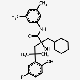 Cc1cc(C)cc(NC(=O)C(O)(CC2CCCCC2)CC(C)(C)c2cc(F)ccc2O)c1